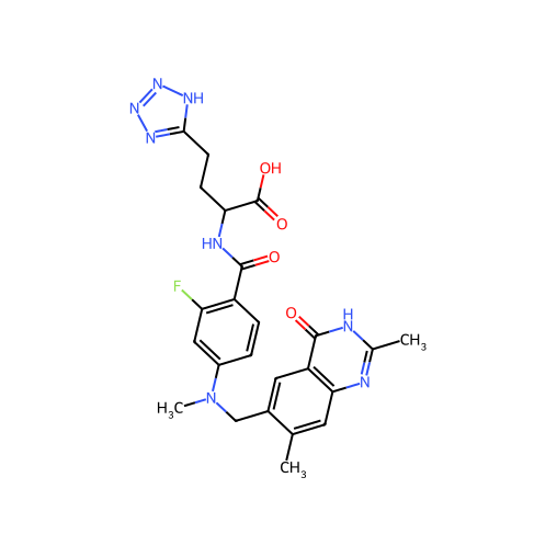 Cc1nc2cc(C)c(CN(C)c3ccc(C(=O)NC(CCc4nnn[nH]4)C(=O)O)c(F)c3)cc2c(=O)[nH]1